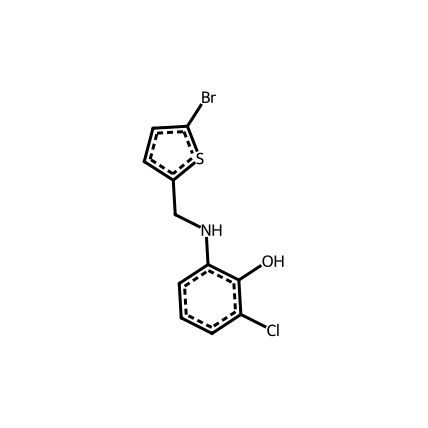 Oc1c(Cl)cccc1NCc1ccc(Br)s1